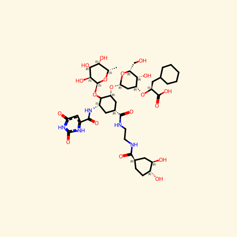 C[C@@H]1O[C@@H](OC2[C@@H](NC(=O)c3cc(=O)[nH]c(=O)[nH]3)C[C@@H](C(=O)NCCNC(=O)[C@@H]3CC[C@@H](O)[C@H](O)C3)C[C@H]2O[C@H]2C[C@@H](O[C@@H](CC3CCCCC3)C(=O)O)[C@@H](O)[C@@H](CO)O2)[C@@H](O)[C@H](O)[C@@H]1O